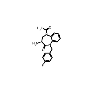 CC(=O)N1C[C@H](N)C(=O)N(Cc2ccc(F)cc2)c2ccccc21